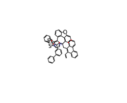 C=Cc1c(C/C(=C\C(=N/CC)c2cccc(-c3ccccc3)c2)c2cccc3oc4cccc(-c5cccc6sc7ccccc7c56)c4c23)c2ccccc2c2ccccc12